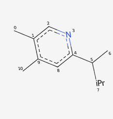 Cc1cnc(C(C)C(C)C)cc1C